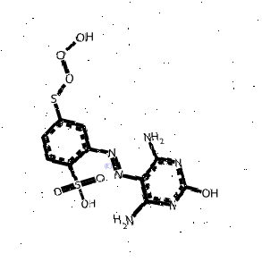 Nc1nc(O)nc(N)c1/N=N/c1cc(SOOO)ccc1S(=O)(=O)O